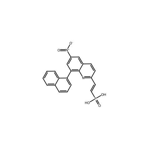 O=[N+]([O-])c1cc(-c2cccc3ccccc23)c2nc(C=CP(=O)(O)O)ccc2c1